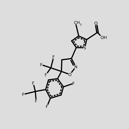 Cc1cc(C2=NOC(c3cc(C(F)(F)F)c(F)cc3F)(C(F)(F)F)C2)sc1C(=O)O